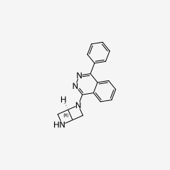 c1ccc(-c2nnc(N3CC4NC[C@H]43)c3ccccc23)cc1